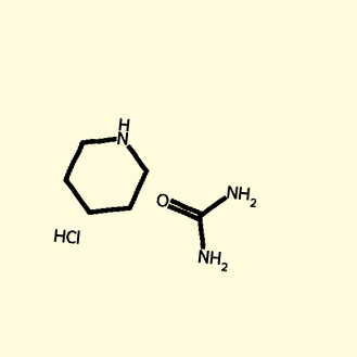 C1CCNCC1.Cl.NC(N)=O